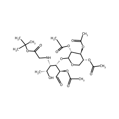 CC(=O)O[C@H]1[C@H](OC(C)=O)COC(O[C@@H]([C@@H](NCC(=O)OC(C)(C)C)[C@@H](C)O)[C@H](C=O)OC(C)=O)[C@@H]1OC(C)=O